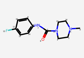 CN1CCN(C(=O)Nc2ccc(F)cc2)CC1